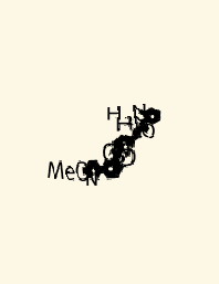 COc1ccc(-c2cccc(S(=O)(=O)n3ccc(/C=C/C(=O)Nc4ccccc4N)c3)c2)cn1